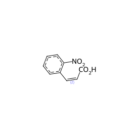 O=C(O)/C=C\c1ccccc1[N+](=O)[O-]